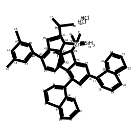 CC1=Cc2c(-c3cccc4ccccc34)cc(-c3cccc4ccccc34)cc2[CH]1[Zr]([CH3])([CH3])(=[SiH2])[CH]1C(C(C)C)=Cc2c(-c3cc(C)cc(C)c3)cccc21.Cl.Cl